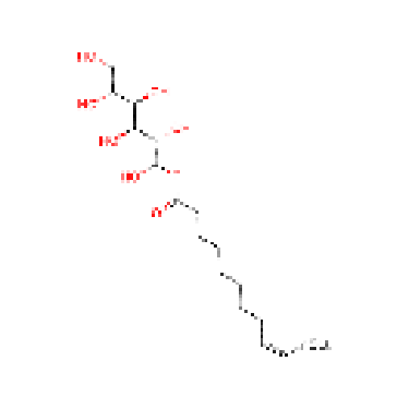 CCCCCCCC/C=C\CCCCCCCC(=O)OC(O)[C@@H](O)[C@@H](O)[C@H](O)[C@H](O)CO